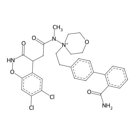 CN(C(=O)CC1C(=O)NOc2cc(Cl)c(Cl)cc21)[N+]1(CCc2ccc(-c3ccccc3C(N)=O)cc2)CCOCC1